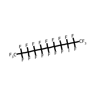 FC(F)(F)C(F)(F)C(F)(F)C(F)(F)C(F)(F)C(F)(F)C(F)(F)C(F)(F)C(F)(I)C(F)(F)C(F)(F)F